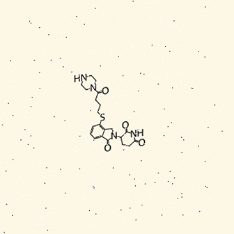 O=C1CCC(N2Cc3c(SCCCC(=O)N4CCNCC4)cccc3C2=O)C(=O)N1